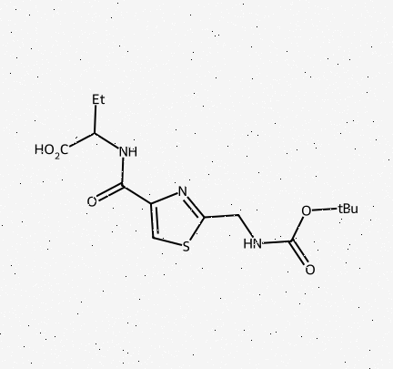 CCC(NC(=O)c1csc(CNC(=O)OC(C)(C)C)n1)C(=O)O